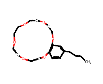 CCCCc1ccc2c(c1)OCCOCCOCCOCCOCCO2